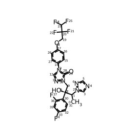 CC(n1cncn1)[C@@](O)(Cn1ncn(-c2ccc(OCC(F)(F)C(F)F)cc2)c1=O)c1ccc(F)cc1F